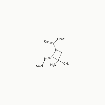 CN/N=C1/N(C(=O)OC)CC1(C)N